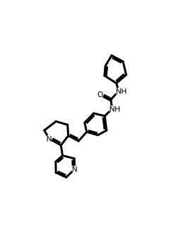 O=C(Nc1ccccc1)Nc1ccc(C=C2CCCN=C2c2cccnc2)cc1